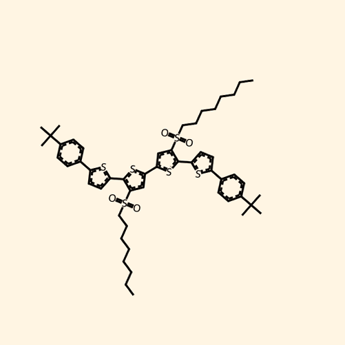 CCCCCCCCS(=O)(=O)c1cc(-c2cc(S(=O)(=O)CCCCCCCC)c(-c3ccc(-c4ccc(C(C)(C)C)cc4)s3)s2)sc1-c1ccc(-c2ccc(C(C)(C)C)cc2)s1